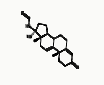 C[C@]12CCC(=O)C=C1CCC1C2=CC[C@@]2(C)C1CC[C@]2(O)N[C]=O